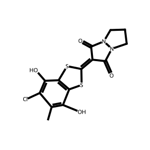 Cc1c(O)c2c(c(O)c1Cl)SC(=C1C(=O)N3CCCN3C1=O)S2